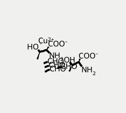 CC=O.CC=O.CC=O.CC=O.C[C@@H](O)[C@H](N)C(=O)[O-].C[C@@H](O)[C@H](N)C(=O)[O-].[Cu+2]